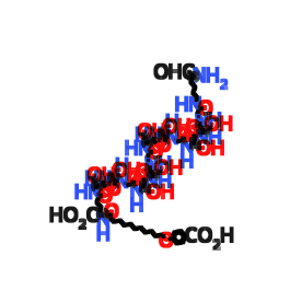 N[C@H](C=O)CCCCNC(=O)CNC(=O)[C@H](CO)NC(=O)[C@H](CO)NC(=O)CNC(=O)[C@H](CO)NC(=O)[C@H](CO)NC(=O)CNC(=O)[C@H](CO)NC(=O)[C@H](CO)NC(=O)CNC(=O)[C@H](CO)NC(=O)[C@H](CO)NC(=O)CC[C@H](NC(=O)CCCCCCCCCCOc1ccc(C(=O)O)cc1)C(=O)O